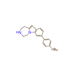 CCCCc1ccc(-c2ccc3cc4n(c3c2)CCNCC4)cc1